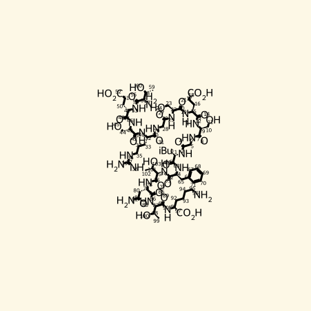 CC[C@H](C)[C@H](NC(=O)CNC(=O)[C@H](CO)NC(=O)[C@H](CCC(=O)O)NC(=O)[C@H](CO)NC(=O)CNC(=O)[C@H](CCCNC(=N)N)NC(=O)[C@H](CO)NC(=O)[C@H](CCC(=O)O)NC(=O)[C@@H](N)[C@@H](C)O)C(=O)N[C@@H](Cc1ccccc1)C(=O)N[C@H](C(=O)N[C@@H](CC(N)=O)C(=O)N[C@H](C(=O)N[C@@H](CCCCN)C(=O)O)[C@@H](C)O)[C@@H](C)O